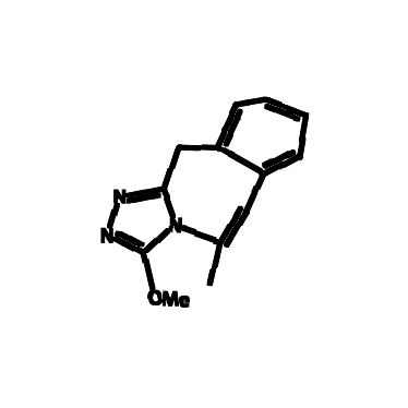 COc1nnc2n1C(C)=Cc1ccccc1C2